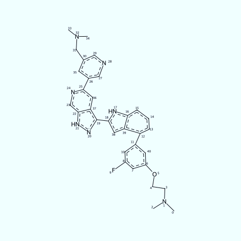 CN(C)CCOc1cc(F)cc(-c2cccc3[nH]c(-c4n[nH]c5cnc(-c6cncc(CN(C)C)c6)cc45)cc23)c1